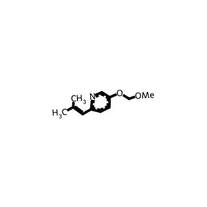 COCOc1ccc(C=C(C)C)nc1